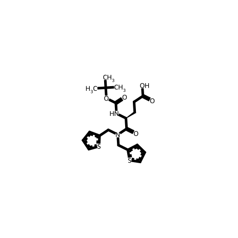 CC(C)(C)OC(=O)N[C@@H](CCC(=O)O)C(=O)N(Cc1cccs1)Cc1cccs1